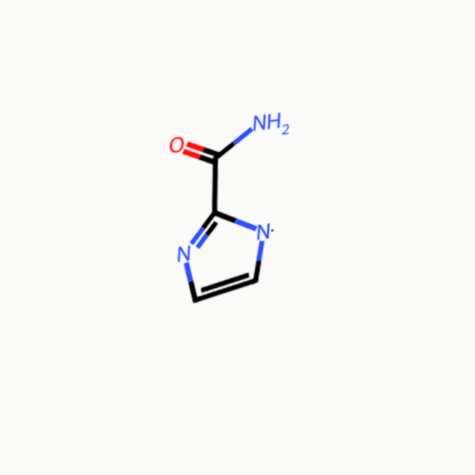 NC(=O)C1=NC=C[N]1